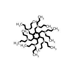 CCCP(CCC)Cc1c(CP(CCC)CCC)c(CP(CCC)CCC)c(CP(CCC)CCC)c(CP(CCC)CCC)c1CP(CCC)CCC